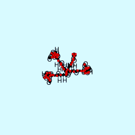 CC(=O)NC1C(OCCCCCC(=O)NCCCNC(=O)CN(C(CCCCNC(=O)CCCC(=O)OCc2ccccc2)C(=O)NCCCNC(=O)CCCCCOC2OC(COC(C)=O)C(OC(C)=O)C(OC(C)=O)C2NC(C)=O)C2C(=O)C2NCCCNC(=O)CCCCCOC2OC(COC(C)=O)C(OC(C)=O)C(OC(C)=O)C2NC(C)=O)OC(COC(C)=O)C(OC(C)=O)C1OC(C)=O